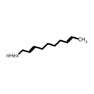 [CH2]CCCCCCC=CCCCCC=CC